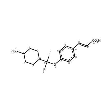 CCCCC1CCC(C(F)(F)Oc2ccc(C=CC(=O)O)cc2)CC1